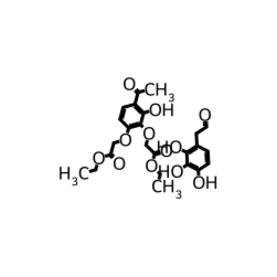 CCOC(=O)COc1ccc(C(C)=O)c(O)c1OCC(=O)OCC.O=CCc1ccc(O)c(O)c1O